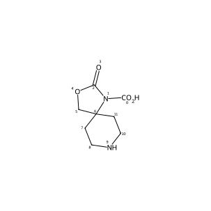 O=C(O)N1C(=O)OCC12CCNCC2